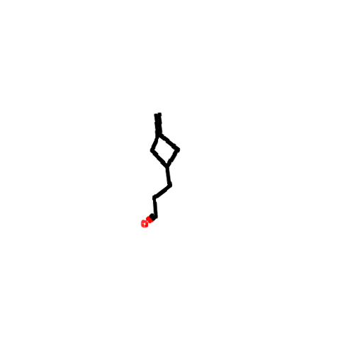 C=C1CC(CCC=O)C1